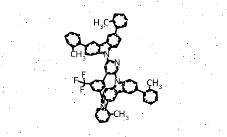 Cc1ccccc1-c1ccc2c(c1)c1cc(-c3ccccc3C)ccc1n2-c1cc(-c2cc(C#N)cc(C(F)(F)F)c2)c(-n2c3ccc(-c4ccccc4C)cc3c3cc(-c4ccccc4C)ccc32)cn1